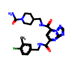 Cc1cc(CNC(=O)c2cc(C(=O)NCC3CCN(C(N)=O)CC3)n3ncnc3n2)ccc1F